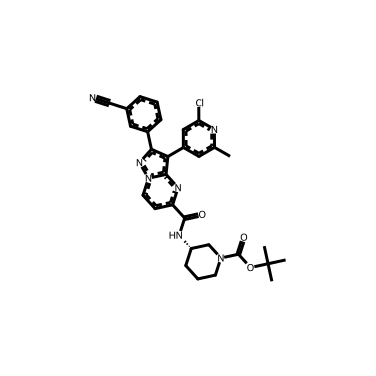 Cc1cc(-c2c(-c3cccc(C#N)c3)nn3ccc(C(=O)N[C@H]4CCCN(C(=O)OC(C)(C)C)C4)nc23)cc(Cl)n1